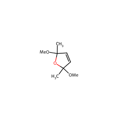 COC1(C)C=CC(C)(OC)O1